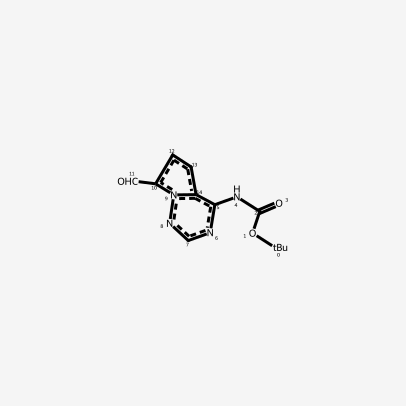 CC(C)(C)OC(=O)Nc1ncnn2c(C=O)ccc12